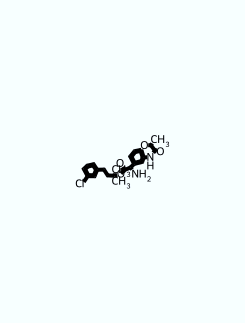 CC1Oc2ccc(C(N)C(=O)OC(C)(C)CCc3cccc(Cl)c3)cc2NC1=O